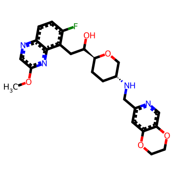 COc1cnc2ccc(F)c(CC(O)[C@@H]3CC[C@@H](NCc4cc5c(cn4)OCCO5)CO3)c2n1